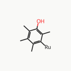 Cc1c(C)c(O)c(C)[c]([Ru])c1C